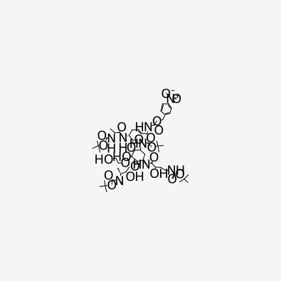 CC(NC(=O)OC(C)(C)C)C(=O)N[C@@H]1CC=C(CNC(=O)OCc2ccc([N+](=O)[O-])cc2)O[C@@H]1O[C@H]1[C@H](O)[C@@H](O[C@@H](OCCO)[C@H](O)[C@H](C)N(C)C(=O)OC(C)(C)C)[C@H](NC(=O)[C@@H](O)CCNC(=O)OC(C)(C)C)C[C@@H]1NC(=O)OC(C)(C)C